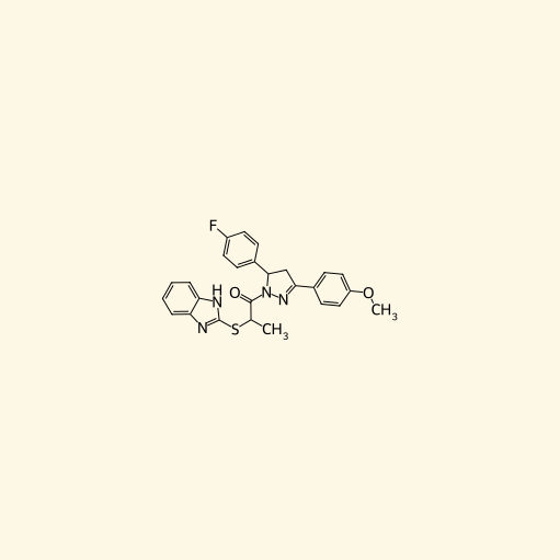 COc1ccc(C2=NN(C(=O)C(C)Sc3nc4ccccc4[nH]3)C(c3ccc(F)cc3)C2)cc1